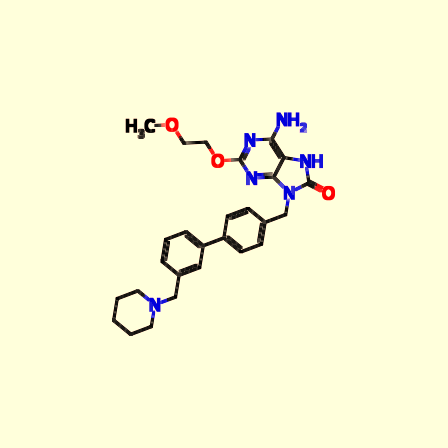 COCCOc1nc(N)c2[nH]c(=O)n(Cc3ccc(-c4cccc(CN5CCCCC5)c4)cc3)c2n1